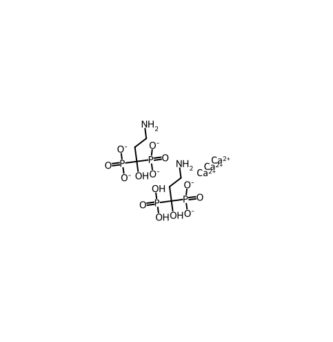 NCCC(O)(P(=O)([O-])[O-])P(=O)(O)O.NCCC(O)(P(=O)([O-])[O-])P(=O)([O-])[O-].[Ca+2].[Ca+2].[Ca+2]